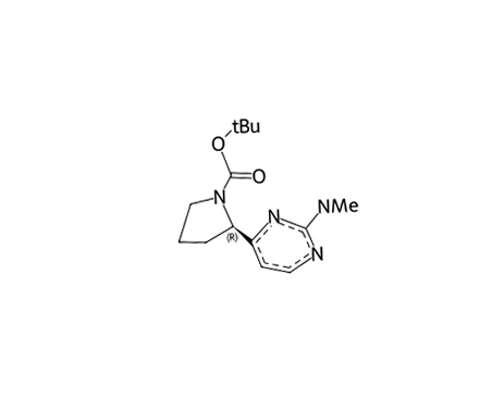 CNc1nccc([C@H]2CCCN2C(=O)OC(C)(C)C)n1